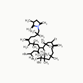 C=C(CCC(C)(C)CC(C)(CC)C(C)(C)C(C)(C)C)C(CC)CC(C)(C)C(C)C(CC(C)(C)C(C)C(=C)CCC(C)(C)CN1C(=C)CC(C)C1=C)C(=C)CC(C)CCCC